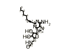 CCCCCCC#Cc1nc(N)c2ncn([C@@H]3O[C@H](CNC=O)C(O)C3O)c2n1